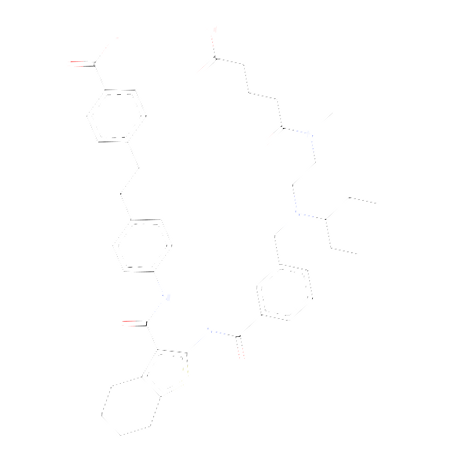 CCC(CC)N(CCN(C)C(=O)CCCC(=O)O)Cc1cccc(C(=O)Nc2sc3c(c2C(=O)Nc2ccc(CCc4ccc(C(=O)O)cc4)cc2)CCCC3)c1